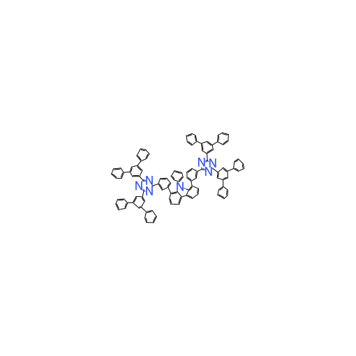 c1ccc(-c2cc(-c3ccccc3)cc(-c3nc(-c4cc(-c5ccccc5)cc(-c5ccccc5)c4)nc(-c4cccc(-c5cccc6c7cccc(-c8cccc(-c9nc(-c%10cc(-c%11ccccc%11)cc(-c%11ccccc%11)c%10)nc(-c%10cc(-c%11ccccc%11)cc(-c%11ccccc%11)c%10)n9)c8)c7n(-c7ccccc7)c56)c4)n3)c2)cc1